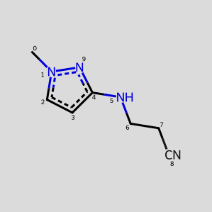 Cn1ccc(NCCC#N)n1